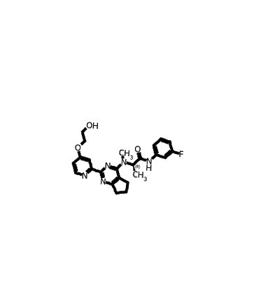 C[C@H](C(=O)Nc1cccc(F)c1)N(C)c1nc(-c2cc(OCCO)ccn2)nc2c1CCC2